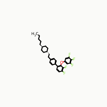 CCCCC[C@H]1CC[C@H](CCc2ccc(-c3ccc(F)c(F)c3Oc3cc(F)c(F)c(F)c3)cc2)CC1